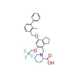 Cc1c(COc2cc(OCC(F)(F)F)c(CN3CCCCC3C(=O)O)c3c2CCC3)cccc1-c1ccccc1